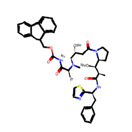 CC[C@H](C)[C@@H]([C@@H](CC(=O)N1CCC[C@H]1[C@H](OC)[C@@H](C)C(=O)N[C@@H](Cc1ccccc1)c1nccs1)OC)N(C)[C@H](C(=O)NC(=O)OCC1c2ccccc2-c2ccccc21)C(C)C